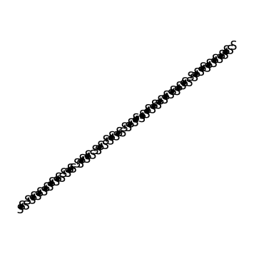 S=S=S=S=S=S=S=S=S=S=S=S=S=S=S=S=S=S=S=S=S=S=S=S=S=S=S=S=S=S=S=S=S=S=S=S=S=S=S=S=S=S=S=S=S=S=S=S=S=S=S=S=S=S=S=S=S=S=S=S=S=S=S=S=S=S=S=S=S=S=S=S